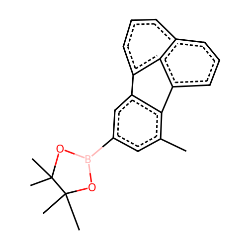 Cc1cc(B2OC(C)(C)C(C)(C)O2)cc2c1-c1cccc3cccc-2c13